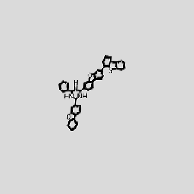 c1ccc(C2NC(c3ccc4c(c3)oc3ccccc34)NC(c3ccc4c(c3)oc3cc(-c5cccc6c5sc5ccccc56)ccc34)N2)cc1